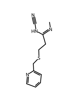 C/N=C(/CCSCc1ccccn1)NC#N